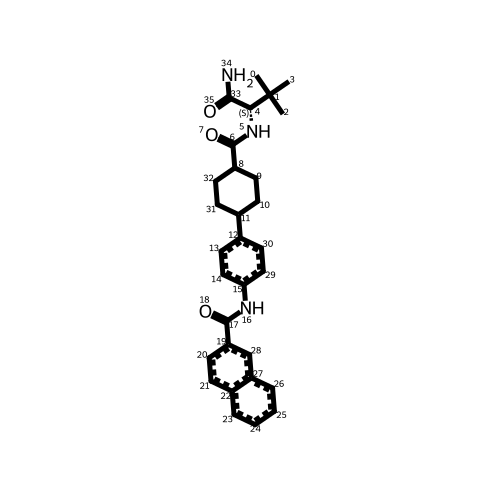 CC(C)(C)[C@H](NC(=O)C1CCC(c2ccc(NC(=O)c3ccc4ccccc4c3)cc2)CC1)C(N)=O